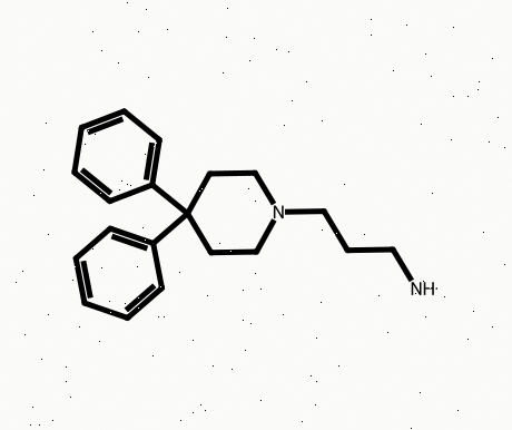 [NH]CCCN1CCC(c2ccccc2)(c2ccccc2)CC1